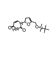 CC(C)(C)[Si](C)(C)OCC1=CCC(n2ccc(=O)[nH]c2=O)O1